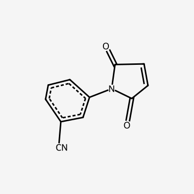 N#Cc1cccc(N2C(=O)C=CC2=O)c1